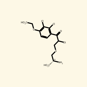 CCC(CSC[C@H](N)C(=O)O)C(=O)c1ccc(OCC(=O)O)c(Cl)c1Cl